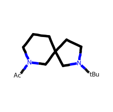 CC(=O)N1CCCC2(CCN(C(C)(C)C)C2)C1